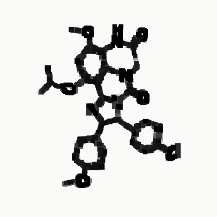 COc1ccc(C2N=C3c4c(OC(C)C)cc(OC)c5c4N(CC(=O)N5)C(=O)N3C2c2ccc(Cl)cc2)cc1